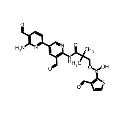 CC(C)(COB(O)c1sccc1C=O)C(=O)Nc1ncc(-c2ccc(C=O)c(N)n2)cc1C=O